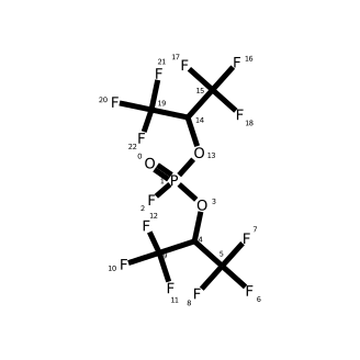 O=P(F)(OC(C(F)(F)F)C(F)(F)F)OC(C(F)(F)F)C(F)(F)F